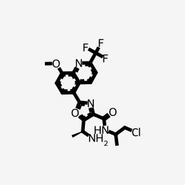 COc1ccc(-c2nc(C(=O)NC(C)CCl)c([C@H](C)N)o2)c2ccc(C(F)(F)F)nc12